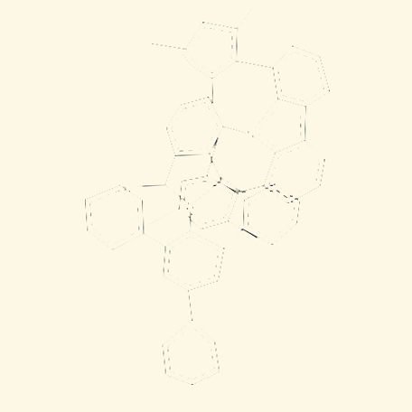 Cc1cc(C)c(-c2cccc3c4cccc(-c5c(C)cc(C)cc5C)c4n(-c4cccc5c4C(=O)N(c4c(-c6ccccc6)cc(-c6ccccc6)cc4-c4ccccc4)C5O)c23)c(C)c1